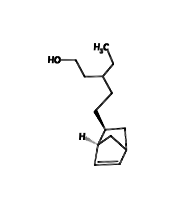 CCC(CCO)CC[C@H]1CC2C=C[C@@H]1C2